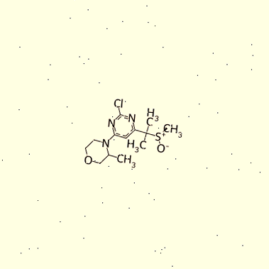 CC1COCCN1c1cc(C(C)(C)[S@@+](C)[O-])nc(Cl)n1